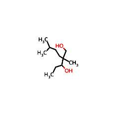 CCC(O)C(C)(CO)CCC(C)C